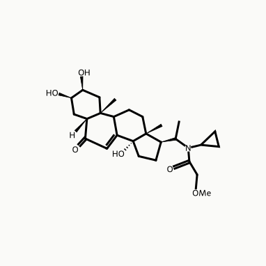 COCC(=O)N(C1CC1)C(C)[C@H]1CC[C@@]2(O)C3=CC(=O)[C@@H]4C[C@@H](O)[C@@H](O)C[C@]4(C)C3CC[C@]12C